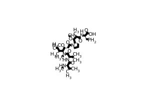 CC[C@H](C)[C@@H]([C@@H](CC(=O)N1CCC[C@H]1[C@H](OC)[C@@H](C)C(=O)N[C@@H](CP)C(=O)O)OC)N(C)C(=O)[C@@H](NC(=O)[C@@H](NC)C(C)C)C(C)C